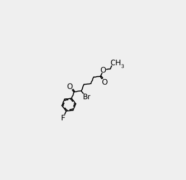 CCOC(=O)CCCC(Br)C(=O)c1ccc(F)cc1